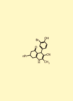 CCCC1CC(=O)C2=C(C1)NC(C)=C(C#N)C2c1ccc(O)c(Br)c1